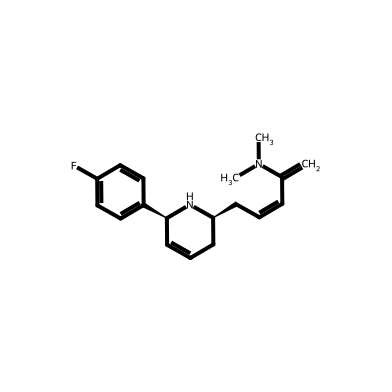 C=C(/C=C\C[C@H]1CC=C[C@@H](c2ccc(F)cc2)N1)N(C)C